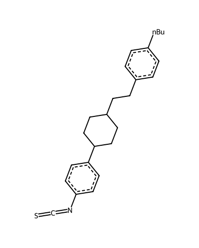 CCCCc1ccc(CCC2CCC(c3ccc(N=C=S)cc3)CC2)cc1